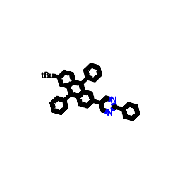 CC(C)(C)c1ccc2c(-c3ccccc3)c3cc(-c4cnc(-c5ccccc5)nc4)ccc3c(-c3ccccc3)c2c1